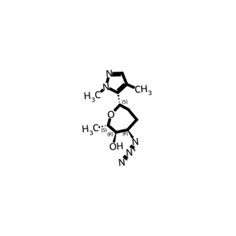 Cc1cnn(C)c1[C@@H]1CC[C@@H](N=[N+]=[N-])[C@@H](O)[C@H](C)O1